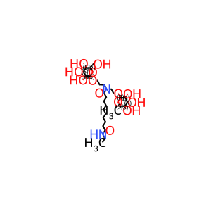 CCNC(=O)CCCCCCCCC(=O)N(CCCO[C@H]1O[C@H](CO)[C@@H](O)[C@H](O)[C@@H]1O)CCO[C@@H]1O[C@@H](C)[C@@H](O)[C@@H](O)[C@@H]1O